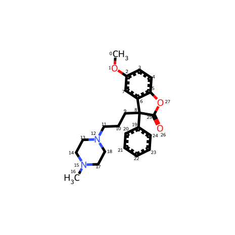 COc1ccc2c(c1)C(CCCN1CCN(C)CC1)(c1ccccc1)C(=O)O2